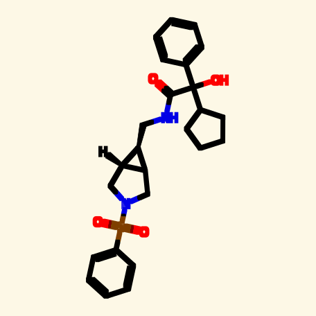 O=C(NC[C@H]1C2CN(S(=O)(=O)c3ccccc3)C[C@@H]21)C(O)(c1ccccc1)C1CCCC1